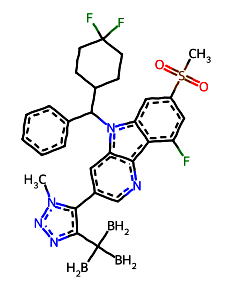 BC(B)(B)c1nnn(C)c1-c1cnc2c3c(F)cc(S(C)(=O)=O)cc3n(C(c3ccccc3)C3CCC(F)(F)CC3)c2c1